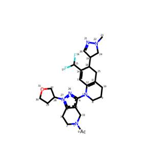 CC(=O)N1CCc2c(c(N3CCCC4=C3C=C(C(F)F)C(C3C=NN(C)C3)C4)nn2C2CCOC2)C1